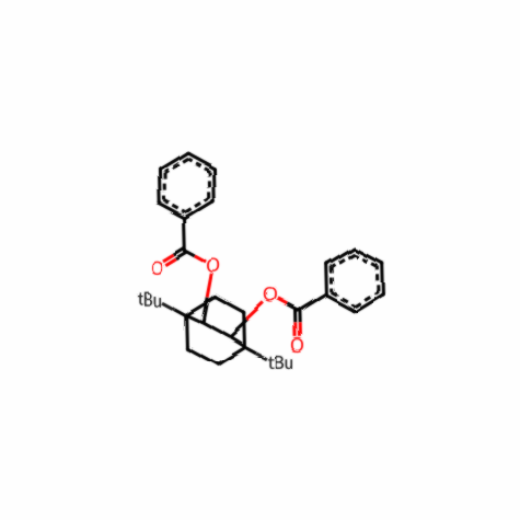 CC(C)(C)C12CCC(C(C)(C)C)(CC1)C(OC(=O)c1ccccc1)C2OC(=O)c1ccccc1